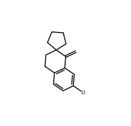 C=C1c2cc(Cl)ccc2CCC12CCCC2